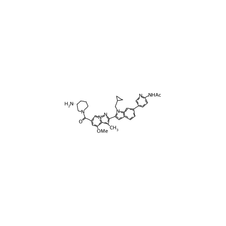 COc1cc(C(=O)N2CCC[C@@H](N)C2)cn2nc(-c3cc4ccc(-c5ccc(NC(C)=O)nc5)cc4n3CC3CC3)c(C)c12